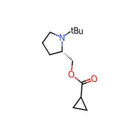 CC(C)(C)N1CCC[C@H]1COC(=O)C1CC1